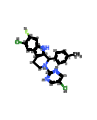 Cc1ccc(C2c3[nH]c4cc(F)c(Cl)cc4c3CCN2c2ncc(Cl)cn2)cc1